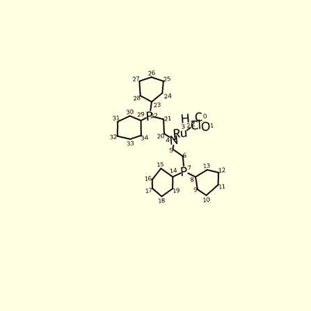 C=O.[Cl][Ru][N](CCP(C1CCCCC1)C1CCCCC1)CCP(C1CCCCC1)C1CCCCC1